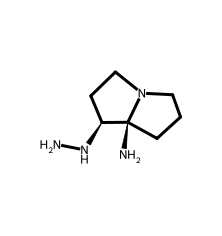 NN[C@H]1CCN2CCC[C@]12N